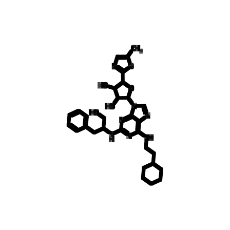 Cc1cnc(C2OC(n3cnc4c(NCCC5CCCCC5)nc(NC(CO)Cc5ccccc5)nc43)C(O)C2O)o1